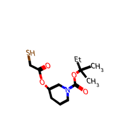 CCC(C)(C)OC(=O)N1CCCC(OC(=O)CS)C1